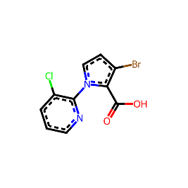 O=C(O)c1c(Br)ccn1-c1ncccc1Cl